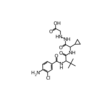 CC(C)(C)C(NC(=O)c1ccc(N)c(Cl)c1)C(=O)NC(C(=O)NNCC(=O)O)C1CC1